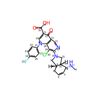 CN[C@@H]1C=CC[C@@H]2CN(c3ncc4c(=O)c(C(=O)O)cn(-c5ccc(F)cc5)c4c3Cl)C[C@@H]21